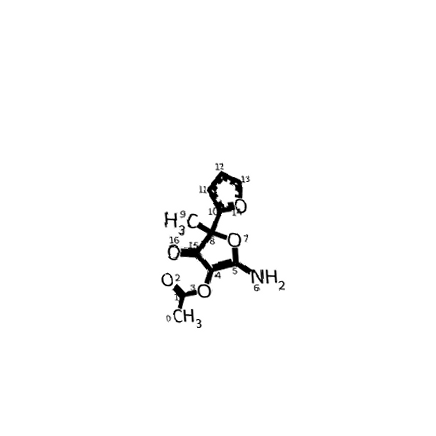 CC(=O)OC1=C(N)OC(C)(c2ccco2)C1=O